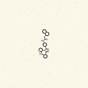 O=C(Cc1cccc2ccccc12)Nc1ccc(-c2nnc3n2-c2cccnc2Nc2ccccc2-3)cc1